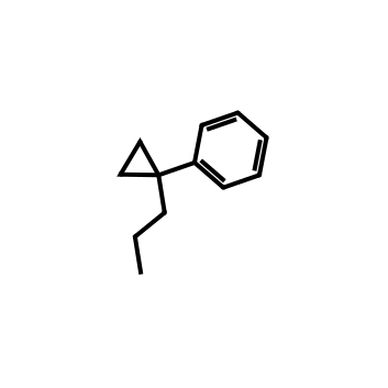 CCCC1(c2ccccc2)CC1